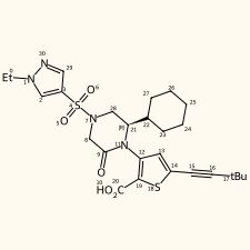 CCn1cc(S(=O)(=O)N2CC(=O)N(c3cc(C#CC(C)(C)C)sc3C(=O)O)[C@H](C3CCCCC3)C2)cn1